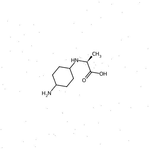 C[C@H](NC1CCC(N)CC1)C(=O)O